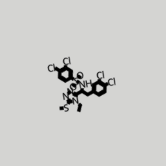 CCn1c(SC)nnc1C(Cc1ccc(Cl)c(Cl)c1)NS(=O)(=O)c1ccc(Cl)c(Cl)c1